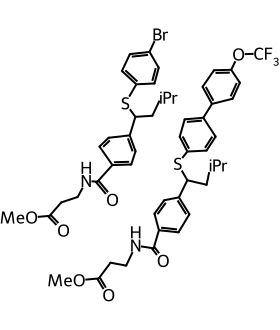 COC(=O)CCNC(=O)c1ccc(C(CC(C)C)Sc2ccc(-c3ccc(OC(F)(F)F)cc3)cc2)cc1.COC(=O)CCNC(=O)c1ccc(C(CC(C)C)Sc2ccc(Br)cc2)cc1